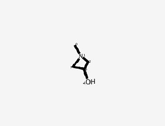 CN1CC(O)C1